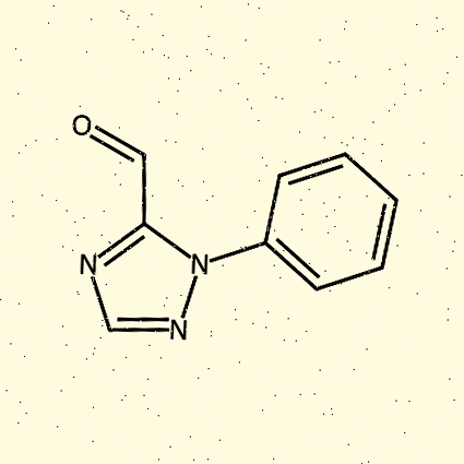 O=Cc1ncnn1-c1ccccc1